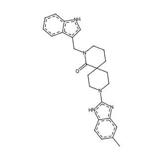 Cc1ccc2[nH]c(N3CCC4(CCCN(Cc5c[nH]c6ccccc56)C4=O)CC3)nc2c1